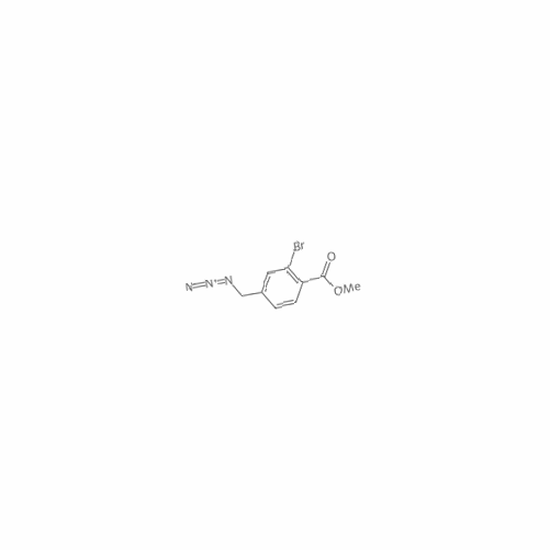 COC(=O)c1ccc(CN=[N+]=[N-])cc1Br